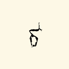 FC(F)=Cc1[c]occ1